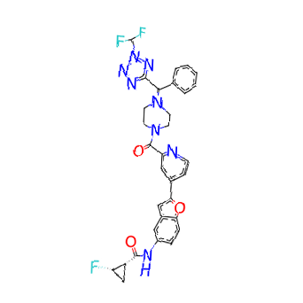 O=C(Nc1ccc2oc(-c3ccnc(C(=O)N4CCN(C(c5ccccc5)c5nnn(C(F)F)n5)CC4)c3)cc2c1)[C@@H]1C[C@@H]1F